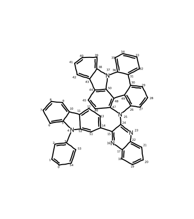 c1ccc(-n2c3ccccc3c3ccc(-c4nc5ccccc5nc4-n4c5cccc6c7ccccc7n7c8ccccc8c8ccc4c(c65)c87)cc32)cc1